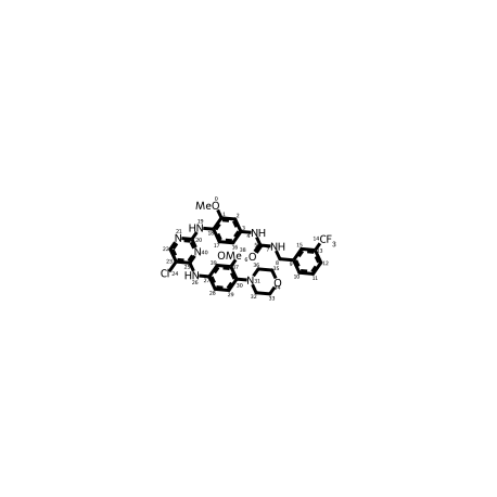 COc1cc(NC(=O)NCc2cccc(C(F)(F)F)c2)ccc1Nc1ncc(Cl)c(Nc2ccc(N3CCOCC3)c(OC)c2)n1